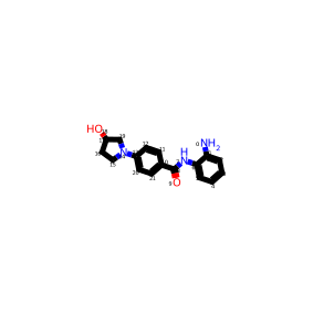 Nc1ccccc1NC(=O)c1ccc(N2CCC(O)C2)cc1